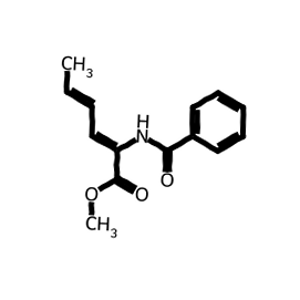 CC=C/C=C(\NC(=O)c1ccccc1)C(=O)OC